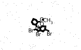 COC(=O)c1ccccc1-n1c(Br)c(Br)c2cc(CBr)ccc21